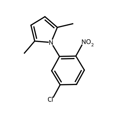 Cc1ccc(C)n1-c1cc(Cl)ccc1[N+](=O)[O-]